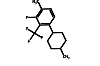 Cc1ccc(C2CCC(C)CC2)c(C(F)(F)F)c1F